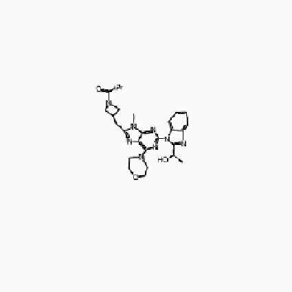 CC(C)C(=O)N1CC(Cc2nc3c(N4CCOCC4)nc(-n4c([C@@H](C)O)nc5ccccc54)nc3n2C)C1